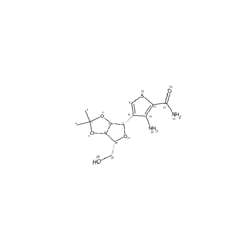 CC1(C)OC2C(O1)[C@H](c1csc(C(N)=O)c1N)O[C@@H]2CO